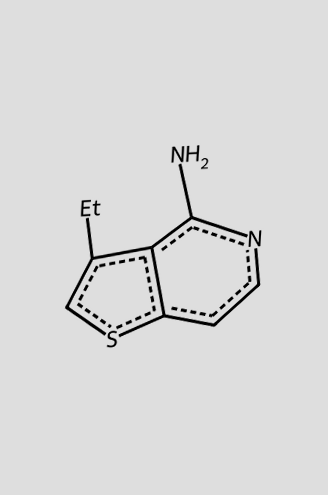 CCc1csc2ccnc(N)c12